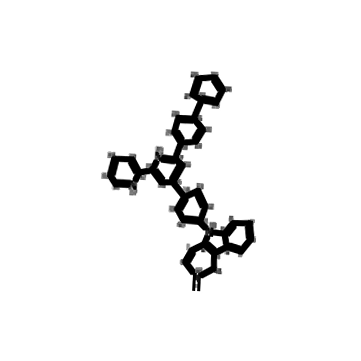 C1=Cc2c(c3ccccc3n2-c2ccc(-c3cc(-c4ccc(-c5ccccc5)cc4)nc(-c4ccccn4)c3)cc2)CN1